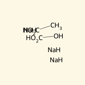 CC(=O)O.O=C(O)O.[NaH].[NaH].[NaH]